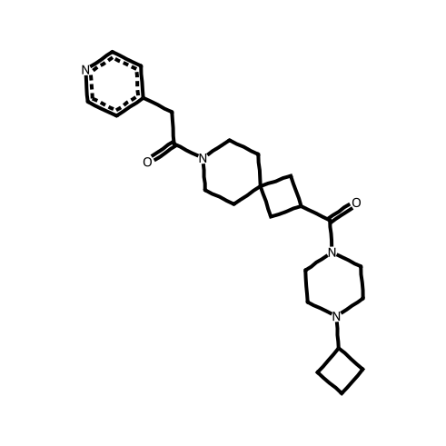 O=C(Cc1ccncc1)N1CCC2(CC1)CC(C(=O)N1CCN(C3CCC3)CC1)C2